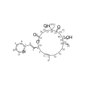 C/C1=C/C[C@@H](C=Cc2ccccn2)OC(=O)C[C@H](O)C(C)(C)C(=O)[C@H](C)[C@@H](O)[C@@H](C)CCC1